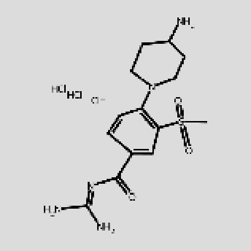 CS(=O)(=O)c1cc(C(=O)N=C(N)N)ccc1N1CCC(N)CC1.Cl.Cl.Cl